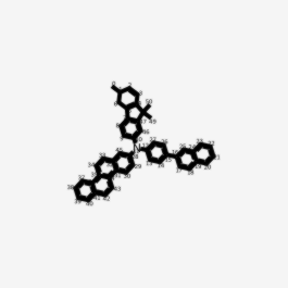 CC1C=CC2=C(C1)c1ccc(N(c3ccc(-c4ccc5ccccc5c4)cc3)c3ccc4c(ccc5c6ccccc6ccc45)c3)cc1C2(C)C